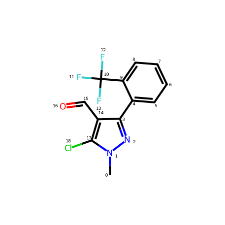 Cn1nc(-c2ccccc2C(F)(F)F)c(C=O)c1Cl